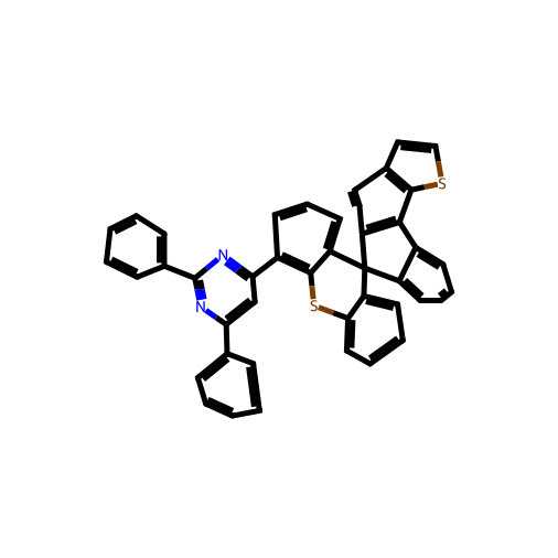 c1ccc(-c2cc(-c3cccc4c3Sc3ccccc3C43c4ccccc4-c4c3ccc3ccsc43)nc(-c3ccccc3)n2)cc1